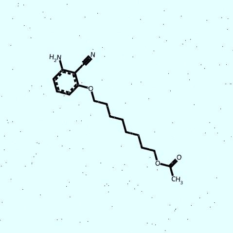 CC(=O)OCCCCCCCCOc1cccc(N)c1C#N